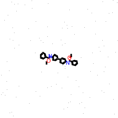 CCO/C(=N\c1ccc(-c2ccc(/N=C(\OCC)c3ccccc3)cc2)cc1)c1ccccc1